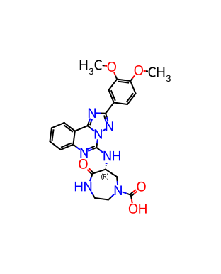 COc1ccc(-c2nc3c4ccccc4nc(N[C@@H]4CN(C(=O)O)CCNC4=O)n3n2)cc1OC